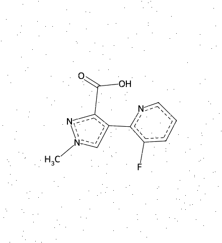 Cn1cc(-c2ncccc2F)c(C(=O)O)n1